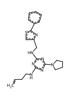 C=CCCNc1nc(NCc2csc(-c3ccccc3)n2)nc(N2[CH]CCC2)n1